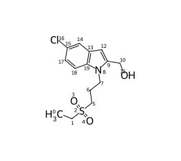 CCS(=O)(=O)CCCn1c(CO)cc2cc(Cl)ccc21